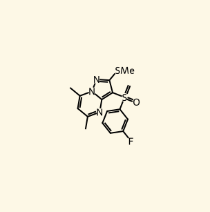 C=S(=O)(c1cccc(F)c1)c1c(SC)nn2c(C)cc(C)nc12